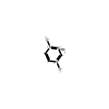 Br.[O-][n+]1cc[n+]([O-])nc1